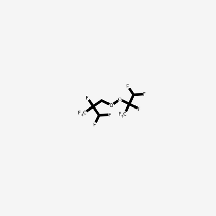 FC(F)C(F)(COOC(F)(C(F)F)C(F)(F)F)C(F)(F)F